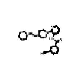 N#Cc1cccc(C(=O)Nc2cccnc2N2CCC(CCN3CCCCC3)CC2)c1